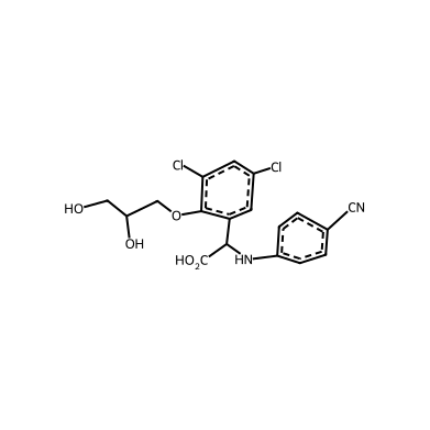 N#Cc1ccc(NC(C(=O)O)c2cc(Cl)cc(Cl)c2OCC(O)CO)cc1